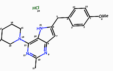 COc1ccc(Cc2cc3nc(C)nc(N4CCCCC4)c3[nH]2)cc1.Cl